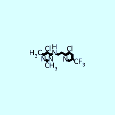 Cc1nc(C)c(Cl)c(NCCc2ncc(C(F)(F)F)cc2Cl)n1